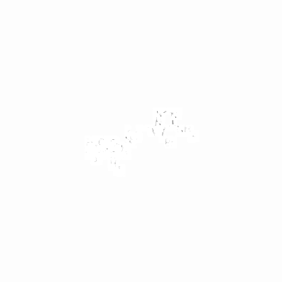 CC(C)(C)OC(=O)N1CC(Cc2cc(Br)c3c(N)ncnn23)C1